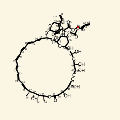 C=CCOC(=O)N[C@@H]1[C@H](O)[C@H](O[C@H]2/C=C/C=C/C=C/C=C/C=C/C=C/C=C/[C@H](C)[C@@H](O)[C@@H](C)[C@H](C)OC(=O)C[C@H](O)C[C@H](O)CC[C@@H](O)[C@H](O)C[C@H](O)C[C@]3(O)C[C@H](OC(=O)OCC=C)[C@@H](C(=O)OCC=C)[C@H](C2)O3)O[C@H](C)[C@H]1O